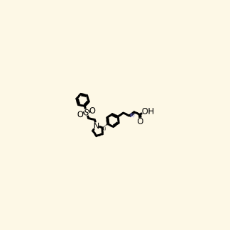 O=C(O)/C=C/Cc1ccc([C@@H]2CCCN2CCS(=O)(=O)c2ccccc2)cc1